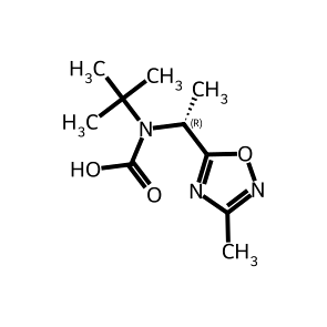 Cc1noc([C@@H](C)N(C(=O)O)C(C)(C)C)n1